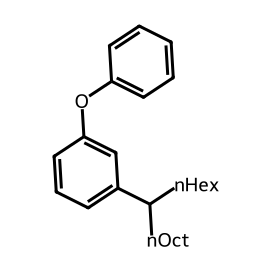 CCCCCCCCC(CCCCCC)c1cccc(Oc2ccccc2)c1